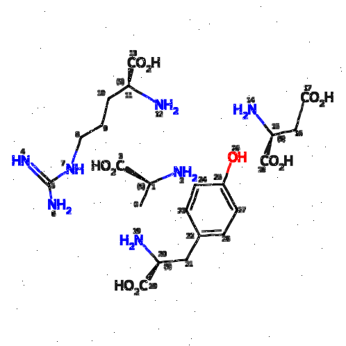 C[C@H](N)C(=O)O.N=C(N)NCCC[C@H](N)C(=O)O.N[C@@H](CC(=O)O)C(=O)O.N[C@@H](Cc1ccc(O)cc1)C(=O)O